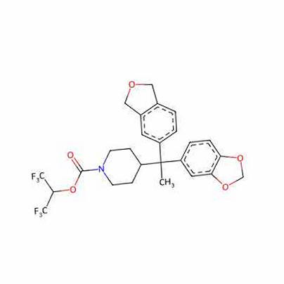 CC(c1ccc2c(c1)COC2)(c1ccc2c(c1)OCO2)C1CCN(C(=O)OC(C(F)(F)F)C(F)(F)F)CC1